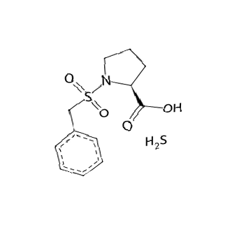 O=C(O)[C@@H]1CCCN1S(=O)(=O)Cc1ccccc1.S